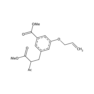 C=CCOc1cc(CC(C(C)=O)C(=O)OC)cc(C(=O)OC)c1